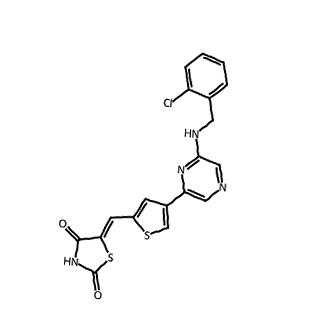 O=C1NC(=O)/C(=C/c2cc(-c3cncc(NCc4ccccc4Cl)n3)cs2)S1